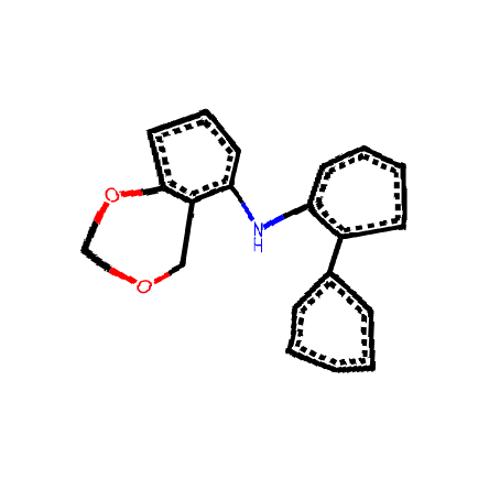 c1ccc(-c2ccccc2Nc2cccc3c2COCO3)cc1